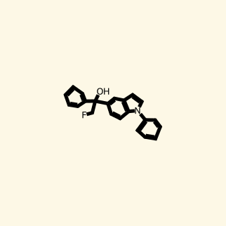 OC(CF)(c1ccccc1)c1ccc2c(ccn2-c2ccccc2)c1